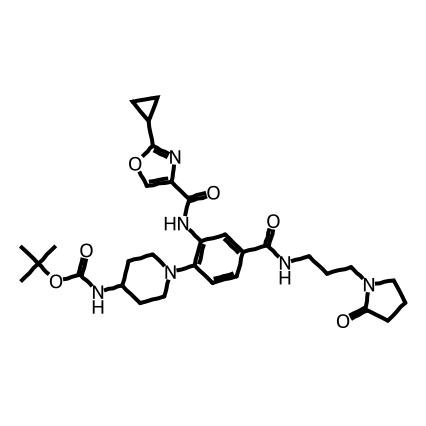 CC(C)(C)OC(=O)NC1CCN(c2ccc(C(=O)NCCCN3CCCC3=O)cc2NC(=O)c2coc(C3CC3)n2)CC1